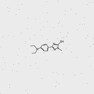 CCN(CC)c1ccc(-c2nc(S)n(C)n2)cc1